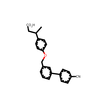 CC(CC(=O)O)c1ccc(OCc2cccc(-c3ccc(C#N)cc3)c2)cc1